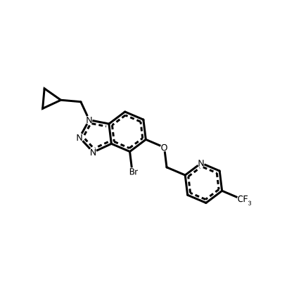 FC(F)(F)c1ccc(COc2ccc3c(nnn3CC3CC3)c2Br)nc1